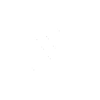 CC(F)(F)c1cccc(-c2nc(N)nc(Nc3ccnc(C(F)(F)F)c3)n2)n1